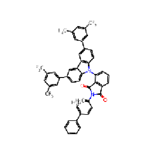 C=C(/C=C\C(=C/C)c1ccccc1)N1C(=O)c2cccc(-n3c4ccc(-c5cc(C(F)(F)F)cc(C(F)(F)F)c5)cc4c4cc(-c5cc(C(F)(F)F)cc(C(F)(F)F)c5)ccc43)c2C1=O